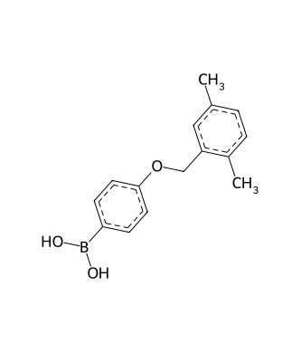 Cc1ccc(C)c(COc2ccc(B(O)O)cc2)c1